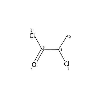 [CH2]C(Cl)C(=O)Cl